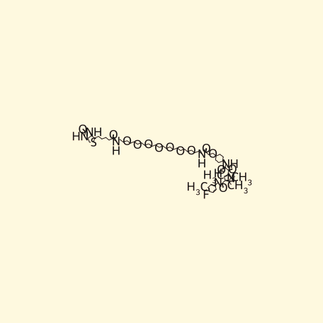 Cc1cc(NC(=O)c2c(C)c(C(=O)C(=O)NC3CCC(OCC(=O)NCCOCCOCCOCCOCCOCCOCCOCCNC(=O)CCCCC4SCC5NC(=O)NC54)CC3)n(C)c2C)ccc1F